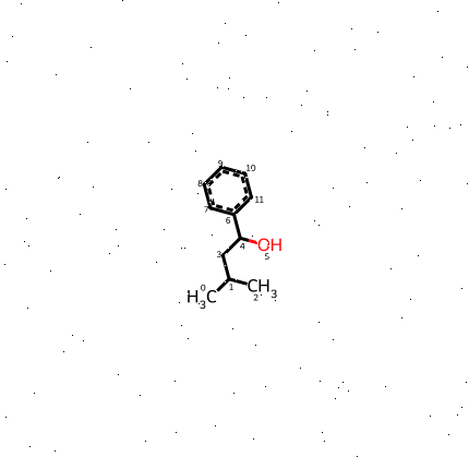 CC(C)CC(O)c1ccccc1